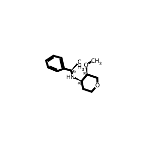 CO[C@H]1COCC[C@H]1N[C@H](C)c1ccccc1